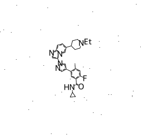 CCN1CCC(c2ccc3ncc(-n4cc(-c5cc(C(=O)NC6CC6)c(F)cc5C)cn4)n3c2)CC1